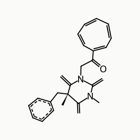 C=C1N(C)C(=C)[C@](C)(Cc2ccccc2)C(=C)N1CC(=O)C1=C/C=C\C=C/C=C\1